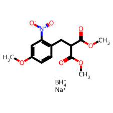 COC(=O)C(Cc1ccc(OC)cc1[N+](=O)[O-])C(=O)OC.[BH4-].[Na+]